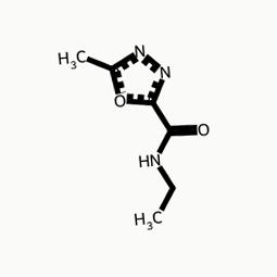 CCNC(=O)c1nnc(C)o1